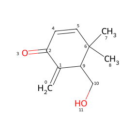 C=C1C(=O)C=CC(C)(C)C1CO